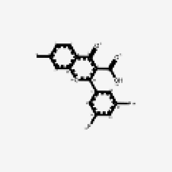 Cc1ccc2c(=O)c(C(=O)O)c(-c3cc(F)cc(F)c3)oc2c1